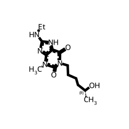 CCNc1nc2c([nH]1)c(=O)n(CCCC[C@@H](C)O)c(=O)n2C